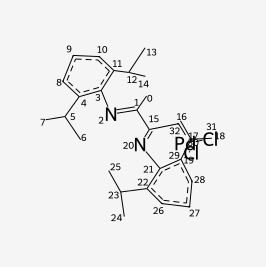 CC(=Nc1c(C(C)C)cccc1C(C)C)C([CH2][Pd]([Cl])[Cl])=Nc1c(C(C)C)cccc1C(C)C